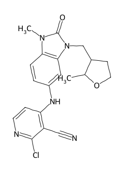 CC1OCCC1Cn1c(=O)n(C)c2ccc(Nc3ccnc(Cl)c3C#N)cc21